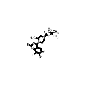 CC1CN(C(=O)OC(C)(C)C)CCN1c1nc(F)nc2c(F)c(Br)c(F)cc12